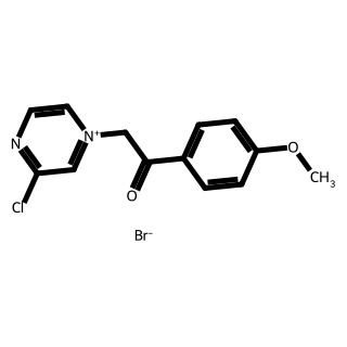 COc1ccc(C(=O)C[n+]2ccnc(Cl)c2)cc1.[Br-]